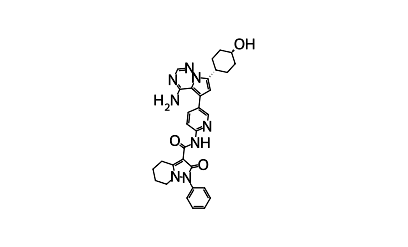 Nc1ncnn2c1c(-c1ccc(NC(=O)c3c4n(n(-c5ccccc5)c3=O)CCCC4)nc1)cc2[C@H]1CC[C@H](O)CC1